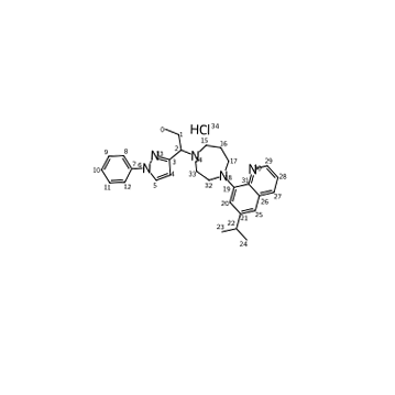 CCC(c1ccn(-c2ccccc2)n1)N1CCCN(c2cc(C(C)C)cc3cccnc23)CC1.Cl